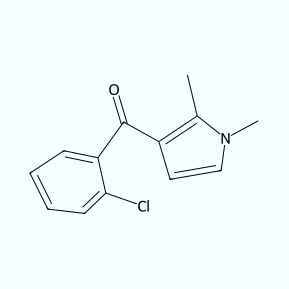 Cc1c(C(=O)c2ccccc2Cl)ccn1C